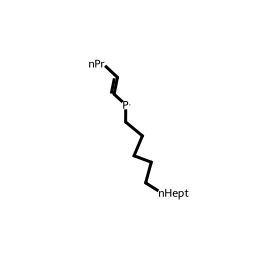 CCCC=C[P]CCCCCCCCCCCC